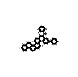 c1ccc(-c2cccc(-c3nc4ccccc4nc3-c3ccc4c(ccc5ccc6c7ccccc7ccc6c54)c3)c2)cc1